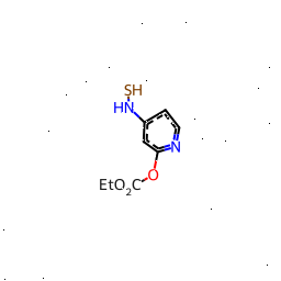 CCOC(=O)Oc1cc(NS)ccn1